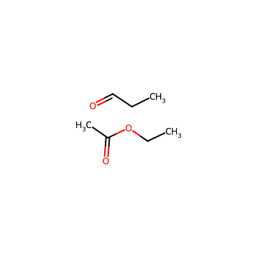 CCC=O.CCOC(C)=O